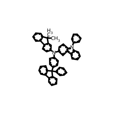 CC1(C)c2ccccc2-c2ccc(N(c3ccc(C4(c5ccccc5)c5ccccc5-c5ccccc54)cc3)c3ccc4c(c3)c3ccccc3n4-c3ccccc3)cc21